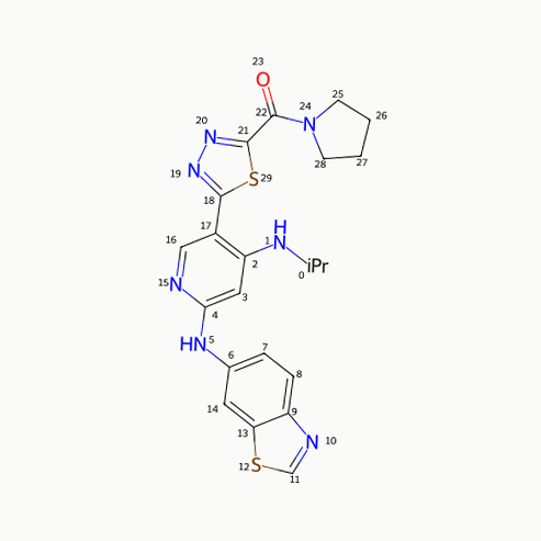 CC(C)Nc1cc(Nc2ccc3ncsc3c2)ncc1-c1nnc(C(=O)N2CCCC2)s1